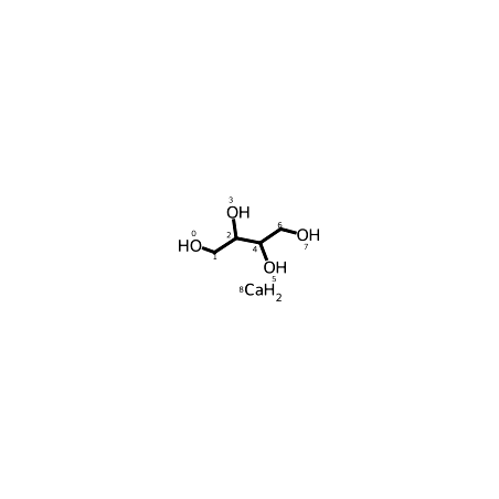 OCC(O)C(O)CO.[CaH2]